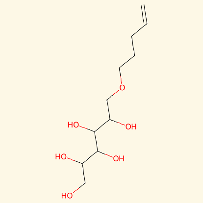 C=CCCCOCC(O)C(O)C(O)C(O)CO